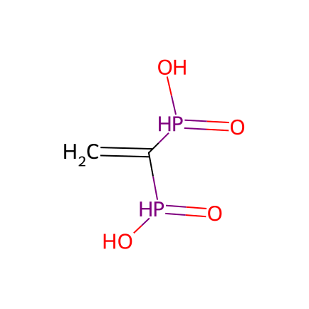 C=C([PH](=O)O)[PH](=O)O